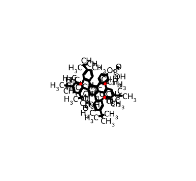 Cc1cc(-c2c(O[PH](=O)O)c(-c3cc(C)c(C(C)(C)C)cc3C(C)(C)C)c(-c3cc(C)c(C(C)(C)C)cc3C(C)(C)C)c(-c3ccc(O[PH](=O)O)cc3)c2-c2cc(C)c(C(C)(C)C)cc2C(C)(C)C)c(C(C)(C)C)cc1C(C)(C)C